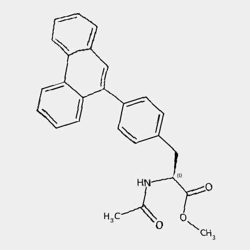 COC(=O)[C@H](Cc1ccc(-c2cc3ccccc3c3ccccc23)cc1)NC(C)=O